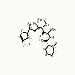 CCCCCON(C(=O)C(NC(=O)[C@H]1CCCCN1C)C(C)CC)C(CC(O)c1nc(C(=O)O)cs1)C(C)C